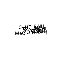 COCc1cc(Cl)cnc1C(=O)Nc1ccc(F)c([C@@]2(CF)CS(O)(O)C(C)(C)C(N)=N2)c1